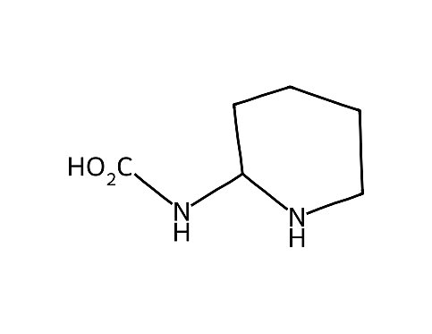 O=C(O)NC1CCCCN1